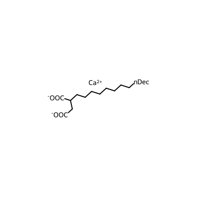 CCCCCCCCCCCCCCCCCCC(CC(=O)[O-])C(=O)[O-].[Ca+2]